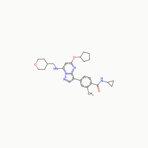 Cc1cc(-c2cnn3c(NCC4CCOCC4)cc(OC4CCCC4)nc23)ccc1C(=O)NC1CC1